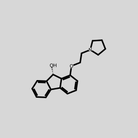 O[C@H]1c2ccccc2-c2cccc(OCCN3CCCC3)c21